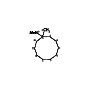 CNC1(C)CCCCCCCCC1